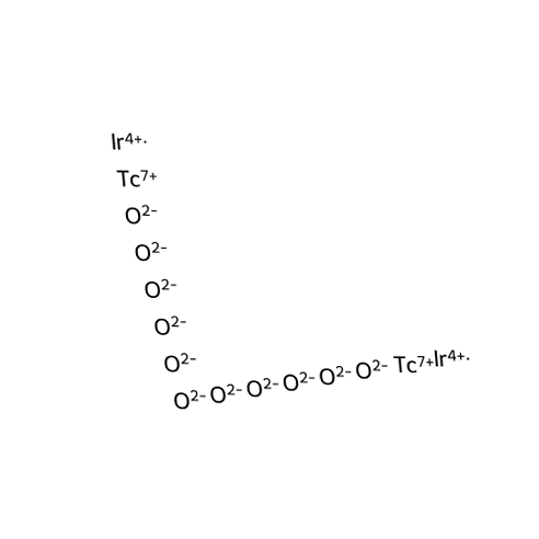 [Ir+4].[Ir+4].[O-2].[O-2].[O-2].[O-2].[O-2].[O-2].[O-2].[O-2].[O-2].[O-2].[O-2].[Tc+7].[Tc+7]